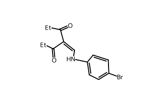 CCC(=O)C(=CNc1ccc(Br)cc1)C(=O)CC